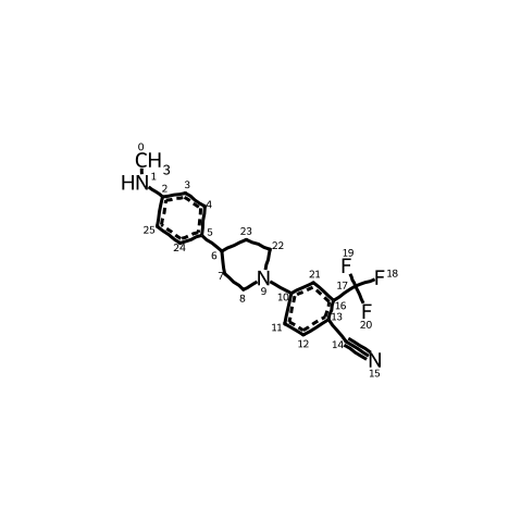 CNc1ccc(C2CCN(c3ccc(C#N)c(C(F)(F)F)c3)CC2)cc1